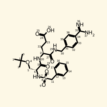 CC(C)(C)OC[C@@H](NS(=O)(=O)Cc1ccccc1)C(=O)N[C@@H](CCC(=O)O)C(=O)NCc1ccc(C(=N)N)cc1